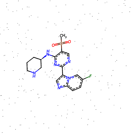 CS(=O)(=O)c1cnc(-c2cnc3ccc(F)cn23)nc1N[C@@H]1CCCNC1